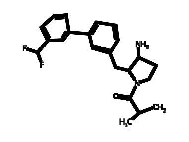 CC(C)C(=O)N1CCC(N)C1Cc1cccc(-c2cccc(C(F)F)c2)c1